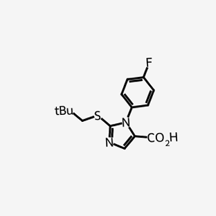 CC(C)(C)CSc1ncc(C(=O)O)n1-c1ccc(F)cc1